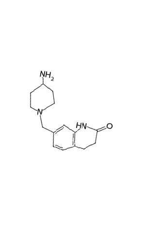 NC1CCN(Cc2ccc3c(c2)NC(=O)CC3)CC1